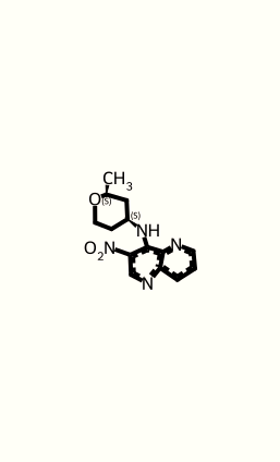 C[C@H]1C[C@@H](Nc2c([N+](=O)[O-])cnc3cccnc23)CCO1